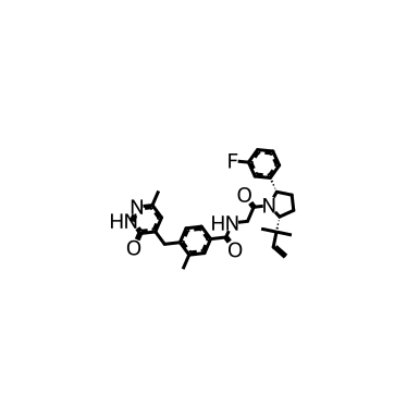 C=CC(C)(C)[C@H]1CC[C@@H](c2cccc(F)c2)N1C(=O)CNC(=O)c1ccc(Cc2cc(C)n[nH]c2=O)c(C)c1